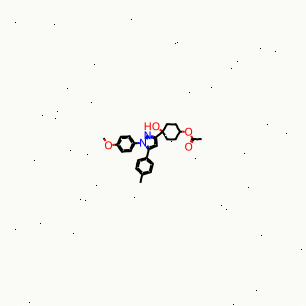 COc1ccc(-n2nc(C3(O)CCC(OC(C)=O)CC3)cc2-c2ccc(C)cc2)cc1